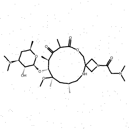 CO[C@]1(C)C[C@@H](C)CNC2(COC(=O)C(C)C(=O)[C@H](C)[C@H]1O[C@@H]1O[C@H](C)C[C@H](N(C)C)[C@H]1O)CN(C(=O)CN(C)C)C2